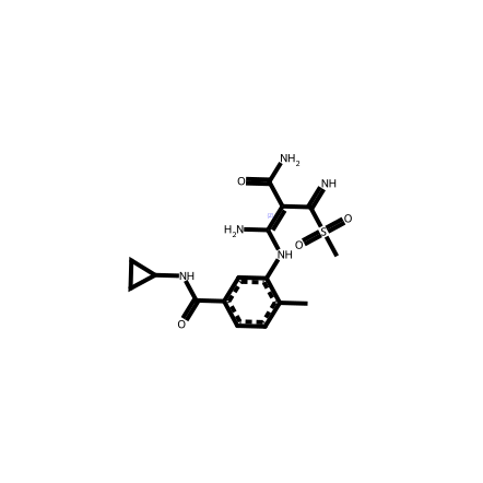 Cc1ccc(C(=O)NC2CC2)cc1N/C(N)=C(\C(=N)S(C)(=O)=O)C(N)=O